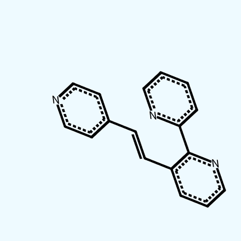 C(=Cc1cccnc1-c1ccccn1)c1ccncc1